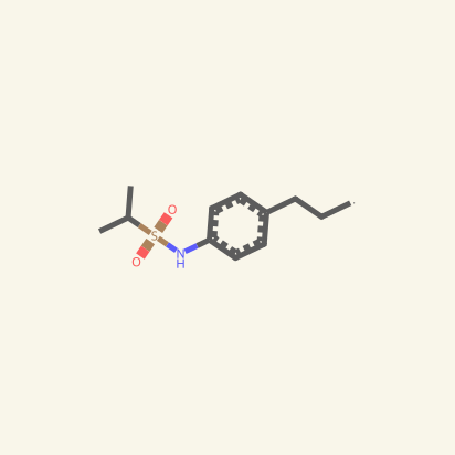 [CH2]CCc1ccc(NS(=O)(=O)C(C)C)cc1